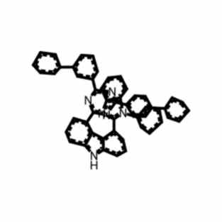 c1ccc(-c2ccc(-c3nc(-c4cccc(-c5ccccc5)c4)nc(-c4cccc5[nH]c6cccc(-c7nc8ccccc8n7-c7ccccc7)c6c45)n3)cc2)cc1